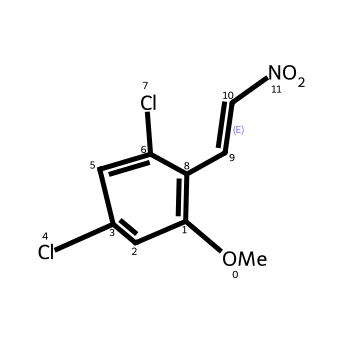 COc1cc(Cl)cc(Cl)c1/C=C/[N+](=O)[O-]